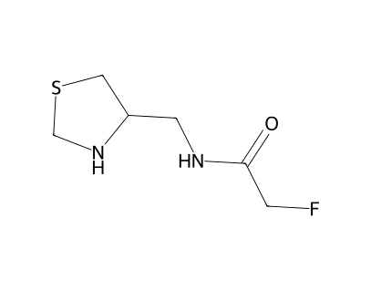 O=C(CF)NCC1CSCN1